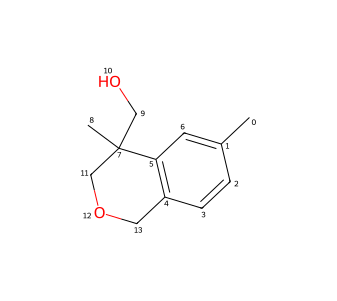 Cc1ccc2c(c1)C(C)(CO)COC2